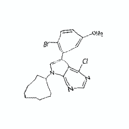 COc1ccc(Br)c(-c2cn(C3CCCCC3)c3ncnc(Cl)c23)c1